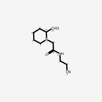 N#CCCNC(=O)CN1CCCCC1C=O